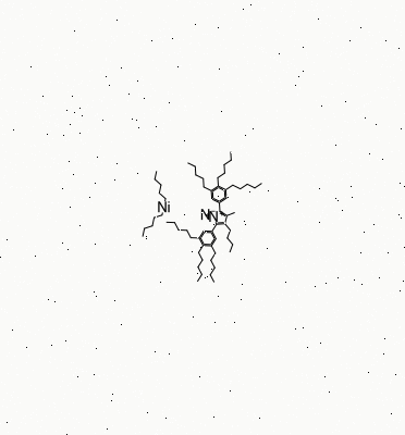 CCCCCc1cc(C2=C(C)C(CCCC)=C(c3cc(CCCCC)c(CCCCC)c(CCCCC)c3)[N+]2=[N-])cc(CCCCC)c1CCCCC.CCCC[CH2][Ni][CH2]CCCC